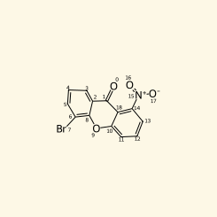 O=c1c2cccc(Br)c2oc2cccc([N+](=O)[O-])c12